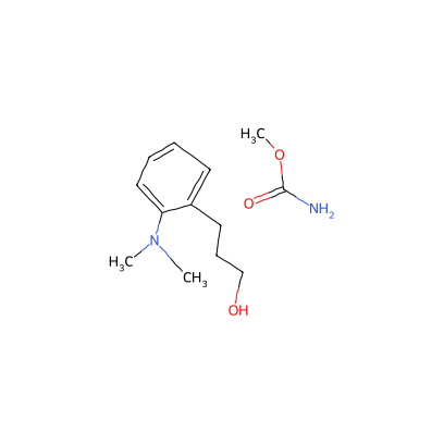 CN(C)c1ccccc1CCCO.COC(N)=O